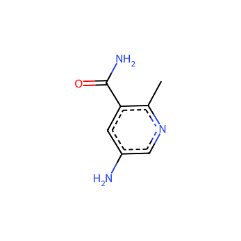 Cc1ncc(N)cc1C(N)=O